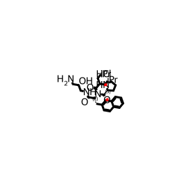 CC(C)CC(CC(C)C)C(=O)N(C(=O)[C@@H]1CCCN1)[C@H](Cc1ccc2ccccc2c1)C(=O)NCC(O)CN.Cl